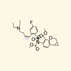 CCN(CC)CC/C=C\c1cc(F)ccc1S(=O)(=O)N(C(=O)OC)c1ccc2c(c1C(=O)OC)OCC1CC21